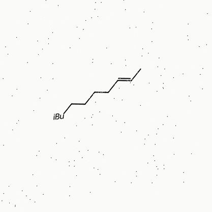 CC=CCCCCC(C)CC